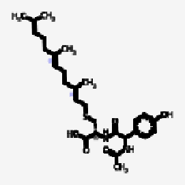 CC(=O)NC(C(=O)N[C@@H](CSC/C=C(\C)CC/C=C(\C)CCC=C(C)C)C(=O)O)c1ccc(O)cc1